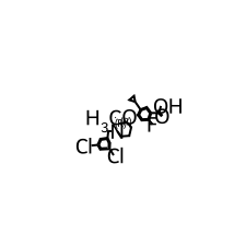 C[C@@H]1[C@H](Oc2cc(F)c(C(=O)O)cc2C2CC2)CCCN1Cc1cc(Cl)cc(Cl)c1